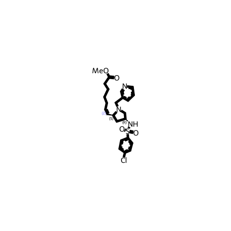 COC(=O)CCCC/C=C\[C@@H]1C[C@@H](NS(=O)(=O)c2ccc(Cl)cc2)CN1Cc1cccnc1